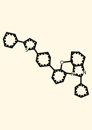 c1ccc(-c2ccc(-c3ccc(-c4cccc5c4Oc4cccc6nc(-c7ccccc7)n-5c46)cc3)s2)cc1